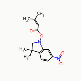 CC(C)=CC(=O)ON1CC(C)(C)c2ccc([N+](=O)[O-])cc21